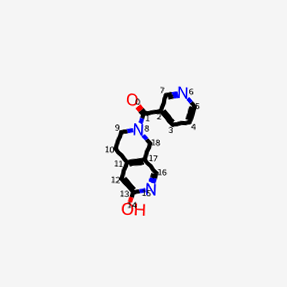 O=C(c1cccnc1)N1CCc2cc(O)ncc2C1